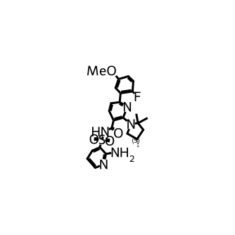 COc1ccc(F)c(-c2ccc(C(=O)NS(=O)(=O)c3cccnc3N)c(N3C[C@@H](C)CC3(C)C)n2)c1